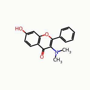 CN(C)c1c(-c2ccccc2)oc2cc(O)ccc2c1=O